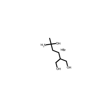 Br.CC(N)(O)CCC(CO)CO